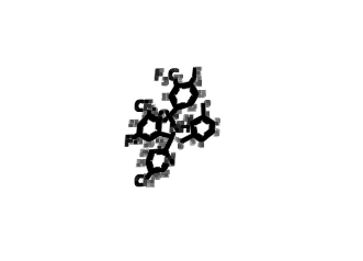 Cc1cccc(C[C@@](NC(=O)c2ccc(F)c(C(F)(F)F)c2)(c2cc(F)cc(C(F)(F)F)c2)c2ccc(Cl)cn2)c1